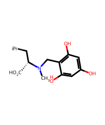 CC(C)C[C@@H](C(=O)O)N(C)Cc1c(O)cc(O)cc1O